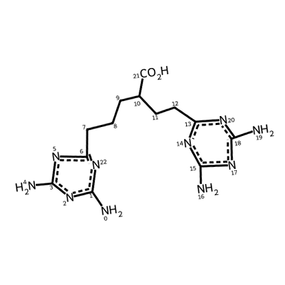 Nc1nc(N)nc(CCCC(CCc2nc(N)nc(N)n2)C(=O)O)n1